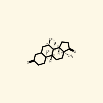 C[C@@H]1CC2CC(=O)CC[C@]2(C)[C@H]2CC[C@]3(C)C(=O)CC[C@H]3[C@H]12